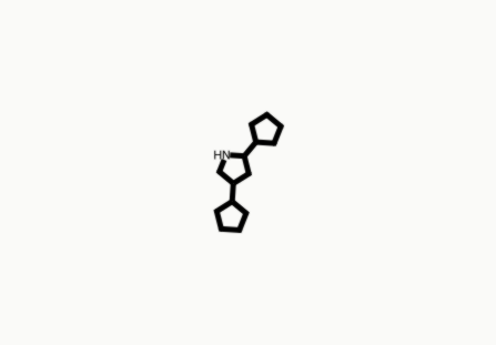 C1CCC(C2CNC(C3CCCC3)C2)C1